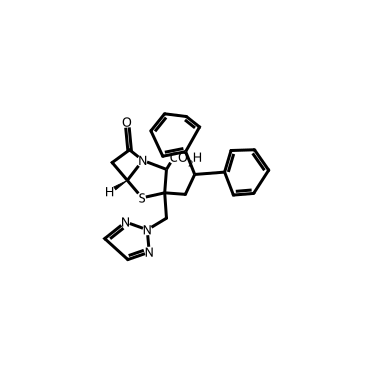 O=C(O)C1N2C(=O)C[C@H]2SC1(CC(c1ccccc1)c1ccccc1)Cn1nccn1